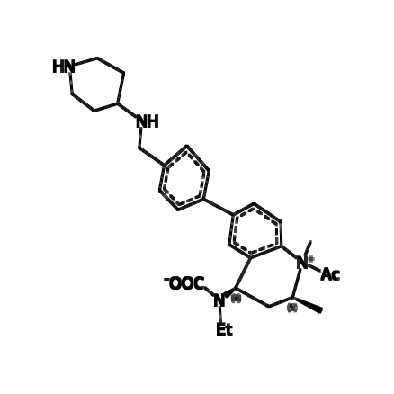 CCN(C(=O)[O-])[C@@H]1C[C@H](C)[N+](C)(C(C)=O)c2ccc(-c3ccc(CNC4CCNCC4)cc3)cc21